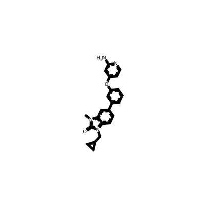 Cn1c(=O)n(CC2CC2)c2ccc(-c3cccc(Oc4ccnc(N)c4)c3)cc21